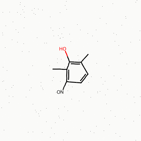 Cc1ccc(N=O)c(C)c1O